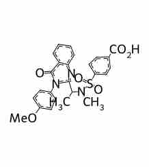 COc1ccc(-n2c(C(C)N(C)S(=O)(=O)c3ccc(C(=O)O)cc3)nc3ccccc3c2=O)cc1